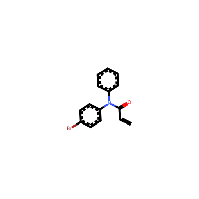 C=CC(=O)N(c1ccccc1)c1ccc(Br)cc1